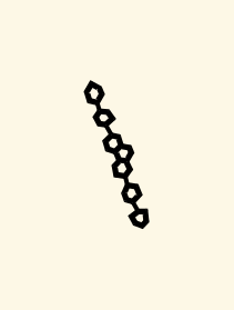 c1ccc(-c2ccc(-c3ccc4c(ccc5cc(-c6ccc(-c7ccccc7)cc6)ccc54)c3)cc2)cc1